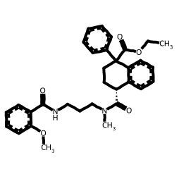 CCOC(=O)C1(c2ccccc2)CC[C@@H](C(=O)N(C)CCCNC(=O)c2ccccc2OC)c2ccccc21